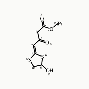 CC(C)OC(=O)CC(=O)C=C1SCC(O)S1